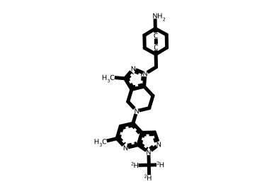 [2H]C([2H])([2H])n1ncc2c(N3CCc4c(c(C)nn4CC45CCC(N)(CC4)CC5)C3)cc(C)nc21